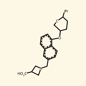 CC(C)C1CCC(Oc2cccc3cc(CN4CC(C(=O)O)C4)ccc23)CC1